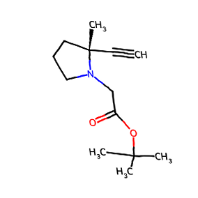 C#C[C@@]1(C)CCCN1CC(=O)OC(C)(C)C